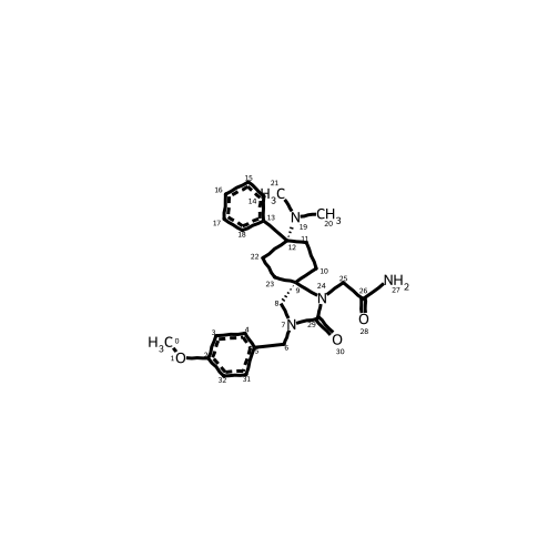 COc1ccc(CN2C[C@]3(CC[C@@](c4ccccc4)(N(C)C)CC3)N(CC(N)=O)C2=O)cc1